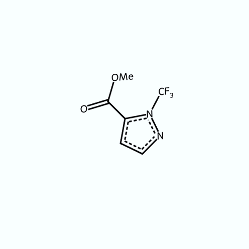 COC(=O)c1ccnn1C(F)(F)F